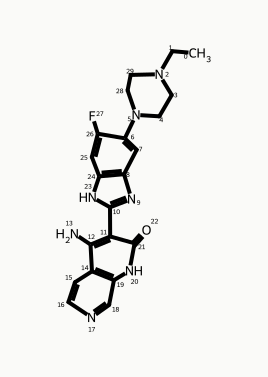 CCN1CCN(c2cc3nc(-c4c(N)c5ccncc5[nH]c4=O)[nH]c3cc2F)CC1